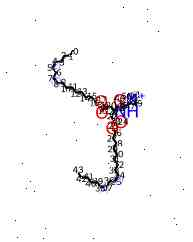 CCCC/C=C\C/C=C\CCCCCCCCOC(=O)CC(CC(=O)OCCCCCCCC/C=C\C/C=C\CCCCC)NC(=O)C[N+](C)(C)C